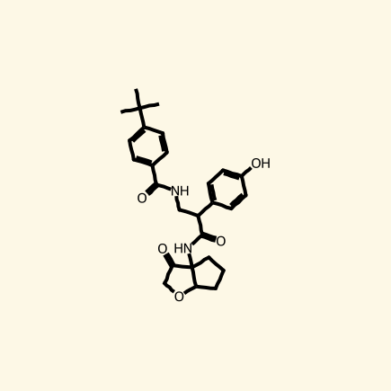 CC(C)(C)c1ccc(C(=O)NCC(C(=O)NC23CCCC2OCC3=O)c2ccc(O)cc2)cc1